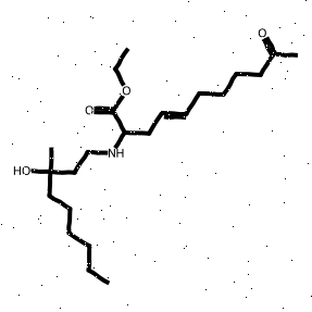 CCCCCCC(C)(O)CCNC(CC=CCCCCC(C)=O)C(=O)OCC